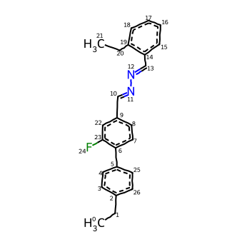 CCc1ccc(-c2ccc(C=NN=Cc3ccccc3CC)cc2F)cc1